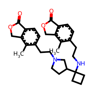 Cc1c(CCNC2(C3CCN(CCc4ccc5c(c4C)COC5=O)C3)CCC2)ccc2c1COC2=O